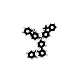 CC1(C)c2ccccc2-c2ccc(N(c3ccc(-c4cccc5c4Oc4ccccc4O5)cc3)c3ccc4c(c3)oc3ccccc34)cc21